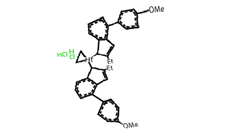 CCC1=Cc2c(-c3ccc(OC)cc3)cccc2[CH]1[Hf]1([CH]2C(CC)=Cc3c(-c4ccc(OC)cc4)cccc32)[CH2][CH2]1.Cl.Cl